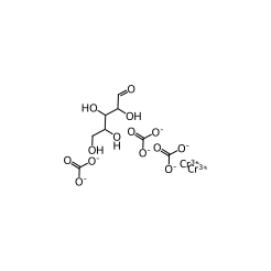 O=C([O-])[O-].O=C([O-])[O-].O=C([O-])[O-].O=CC(O)C(O)C(O)CO.[Cr+3].[Cr+3]